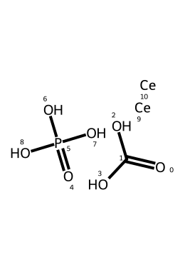 O=C(O)O.O=P(O)(O)O.[Ce].[Ce]